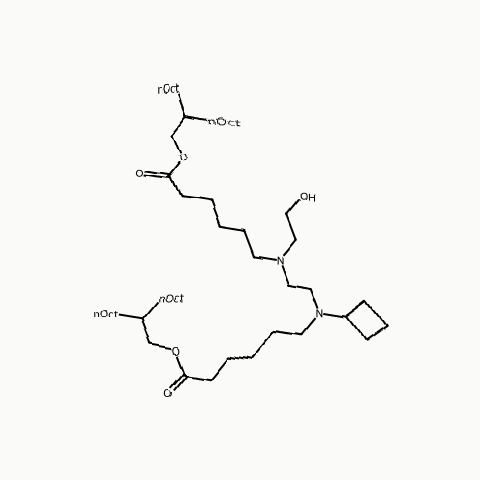 CCCCCCCCC(CCCCCCCC)COC(=O)CCCCCN(CCO)CCN(CCCCCC(=O)OCC(CCCCCCCC)CCCCCCCC)C1CCC1